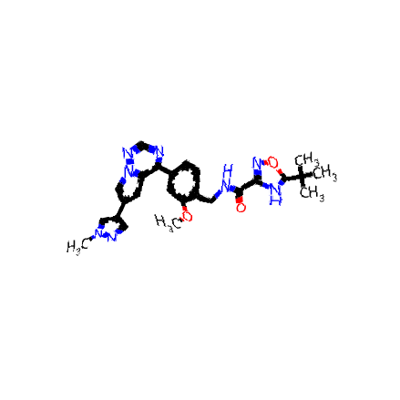 COc1cc(-c2ncnn3cc(-c4cnn(C)c4)cc23)ccc1CNC(=O)C1=NOC(C(C)(C)C)N1